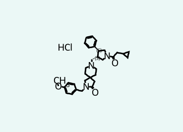 COc1ccc(CN2CC3(CCN(C[C@H]4CN(C(=O)CC5CC5)C[C@@H]4c4ccccc4)CC3)CC2=O)cc1.Cl